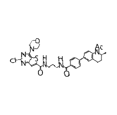 CC(=O)N1c2ccc(-c3ccc(C(=O)NCCCNC(=O)c4cc5nc(Cl)nc(N6CCOCC6)c5s4)cc3)cc2CC[C@@H]1C